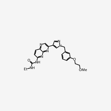 CCNC(=O)Nc1ccc2ncc(-c3cnn(Cc4cccc(OCCOC)c4)c3)nc2n1